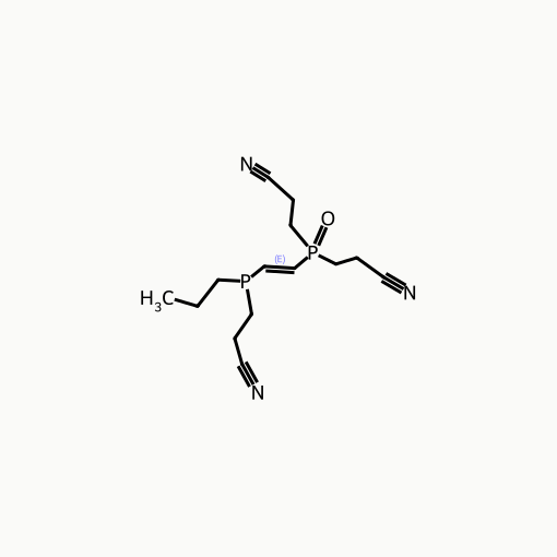 CCCP(/C=C/P(=O)(CCC#N)CCC#N)CCC#N